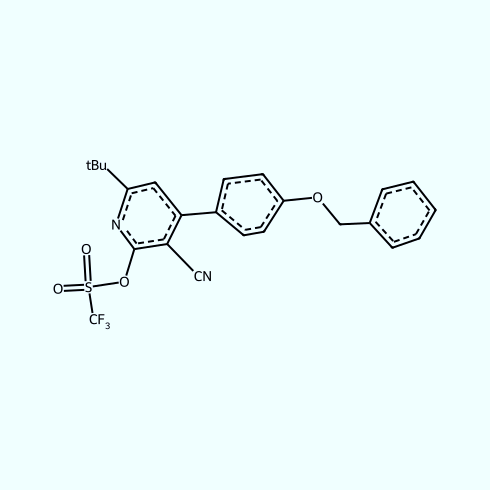 CC(C)(C)c1cc(-c2ccc(OCc3ccccc3)cc2)c(C#N)c(OS(=O)(=O)C(F)(F)F)n1